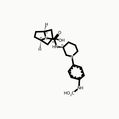 O=C(O)Nc1ccc(N2CCC[C@H](NC(=O)N3[C@@H]4CC[C@H]3C[C@@H](O)C4)C2)cc1